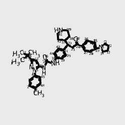 Cc1ccc(-n2nc(C(C)(C)C)cc2NC(=O)Nc2ccc(C(CC(=O)c3ccc(N4CCCC4)cc3)C3CCNCC3)cc2)cc1